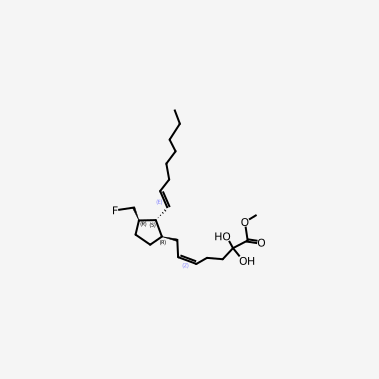 CCCCCC/C=C/[C@H]1[C@H](CF)CC[C@@H]1C/C=C\CCC(O)(O)C(=O)OC